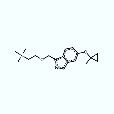 CC1(Oc2ccc3c(cnn3COCC[Si](C)(C)C)c2)CC1